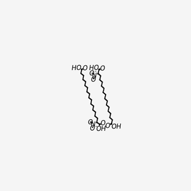 O=C(O)CCCCCCCCCCCCCCCC(C(=O)O)[N+](=O)[O-].O=C(O)CCCCCCCCCCCCCCCCC(C(=O)O)[N+](=O)[O-]